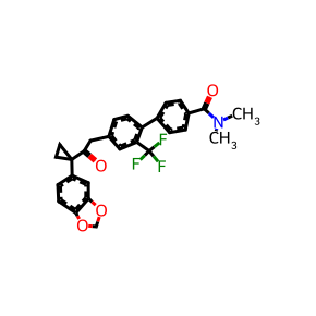 CN(C)C(=O)c1ccc(-c2ccc(CC(=O)C3(c4ccc5c(c4)OCO5)CC3)cc2C(F)(F)F)cc1